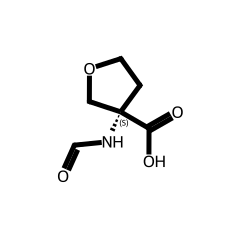 O=CN[C@@]1(C(=O)O)CCOC1